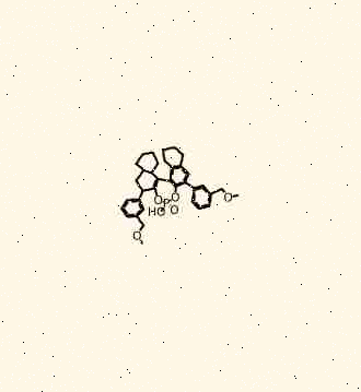 COCc1cccc(-c2cc3c(c4c2OP(=O)(O)OC2=C4C4CCCCC4CC2c2cccc(COC)c2)CCCC3)c1